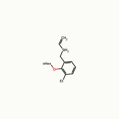 C=C[SiH2]Cc1cccc(CC)c1OCCCCCC